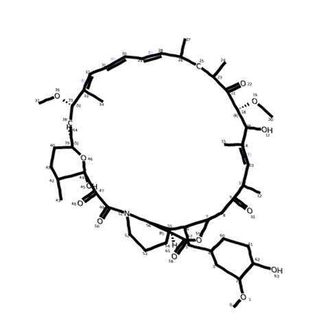 COC1CC(CC2C3CC(=O)C(C)/C=C(\C)C(O)[C@@H](OC)C(=O)C(C)CC(C)/C=C/C=C/C=C(\C)[C@@H](OC)C[C@@H]4CCC(C)C(O)(O4)C(=O)C(=O)N4CCC[C@H]2C4C(=O)O3)CCC1O